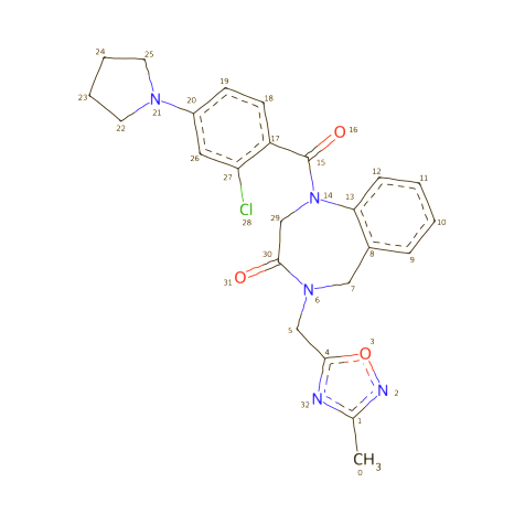 Cc1noc(CN2Cc3ccccc3N(C(=O)c3ccc(N4CCCC4)cc3Cl)CC2=O)n1